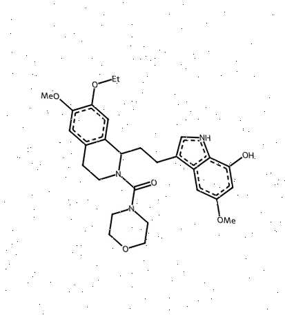 CCOc1cc2c(cc1OC)CCN(C(=O)N1CCOCC1)C2CCc1c[nH]c2c(O)cc(OC)cc12